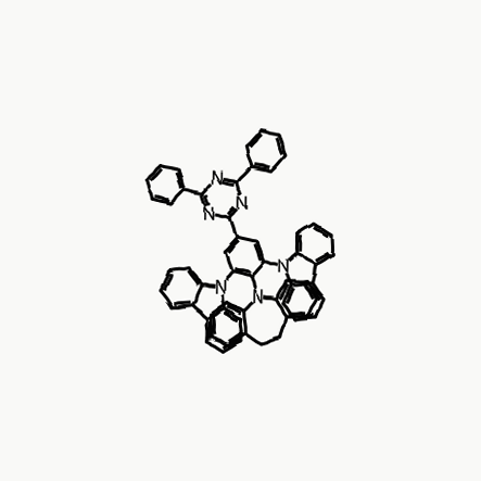 c1ccc(-c2nc(-c3ccccc3)nc(-c3cc(-n4c5ccccc5c5ccccc54)c(N4c5ccccc5CCc5ccccc54)c(-n4c5ccccc5c5ccccc54)c3)n2)cc1